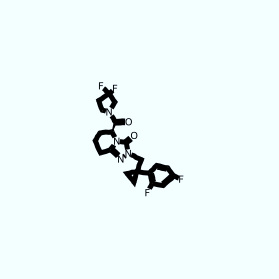 O=C([C@@H]1CCCc2nn(CC3(c4ccc(F)cc4F)CC3)c(=O)n21)N1CCC(F)(F)C1